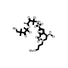 CCN[C@H]1CN(CCCOC)S(=O)(=O)c2sc(S(=O)(=O)NC(C)(CC)C(=O)[C@H](C)OC(C)(CC)C(=O)C(C)(C)CC(C)CC)cc21